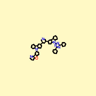 c1ccc(-c2nc(-c3ccccc3)nc(-n3c4ccccc4c4cc(-c5cncc(-c6ccc7c(c6)c6ccccc6n7-c6ccc7oc8cccnc8c7c6)c5)ccc43)n2)cc1